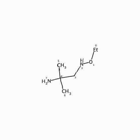 CCONCC(C)(C)N